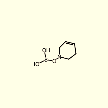 OB(O)ON1CC=CCC1